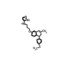 CSc1ccc(C2CN(C)Cc3cc(OCCCNc4ccn[nH]4)ccc32)cc1